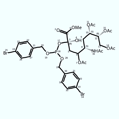 COC(=O)[C@@](O)(CC(OC(C)=O)[C@H](C[C@H](OC(C)=O)[C@@H](COC(C)=O)OC(C)=O)NC(C)=O)OP(OCc1ccc(Br)cc1)OCc1ccc(Br)cc1